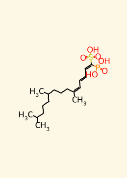 CC(=C/C=C/C=C(\P(=O)(O)O)S(=O)(=O)O)CCCC(C)CCCC(C)C